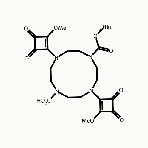 COc1c(N2CCN(C(=O)O)CCN(c3c(OC)c(=O)c3=O)CCN(C(=O)OC(C)(C)C)CC2)c(=O)c1=O